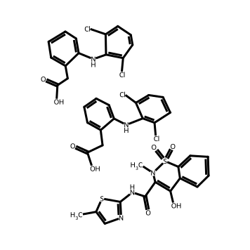 Cc1cnc(NC(=O)C2=C(O)c3ccccc3S(=O)(=O)N2C)s1.O=C(O)Cc1ccccc1Nc1c(Cl)cccc1Cl.O=C(O)Cc1ccccc1Nc1c(Cl)cccc1Cl